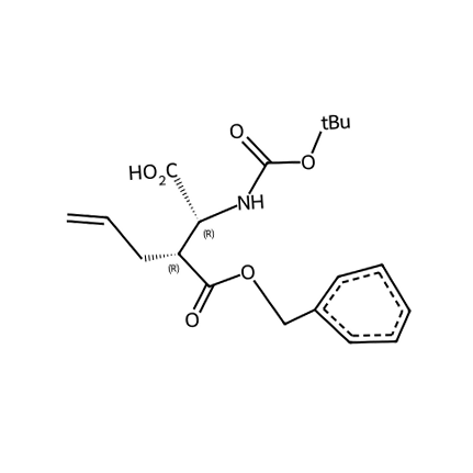 C=CC[C@@H](C(=O)OCc1ccccc1)[C@@H](NC(=O)OC(C)(C)C)C(=O)O